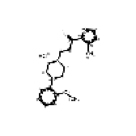 COc1ccccc1N1CCN(CCC(=O)c2sccc2C)CC1.Cl